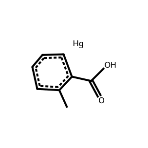 Cc1ccccc1C(=O)O.[Hg]